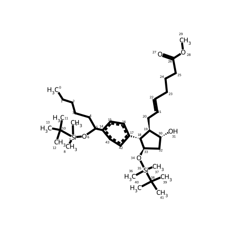 CCCCCC(O[Si](C)(C)C(C)(C)C)c1ccc([C@@H]2[C@@H](CC=CCCCC(=O)OC)[C@H](O)C[C@H]2O[Si](C)(C)C(C)(C)C)cc1